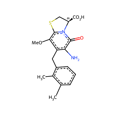 COc1c(Cc2cccc(C)c2C)c(N)c(=O)n2c1SC[C@H]2C(=O)O